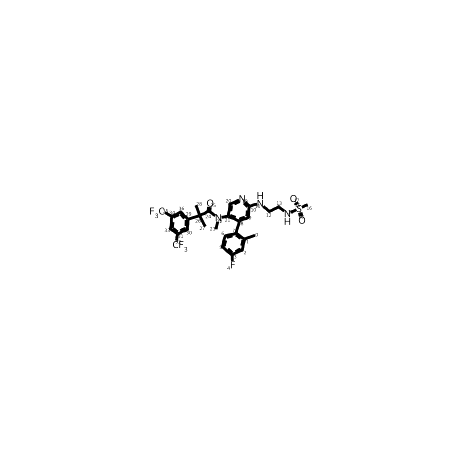 Cc1cc(F)ccc1-c1cc(NCCNS(C)(=O)=O)ncc1N(C)C(=O)C(C)(C)c1cc(C(F)(F)F)cc(C(F)(F)F)c1